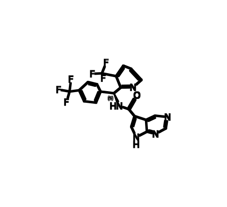 O=C(N[C@@H](c1ccc(C(F)(F)F)cc1)c1ncccc1C(F)(F)F)c1c[nH]c2ncncc12